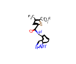 O=C(NCc1cccc2[nH]ncc12)c1cc(C(F)(F)F)c(C(=O)O)s1